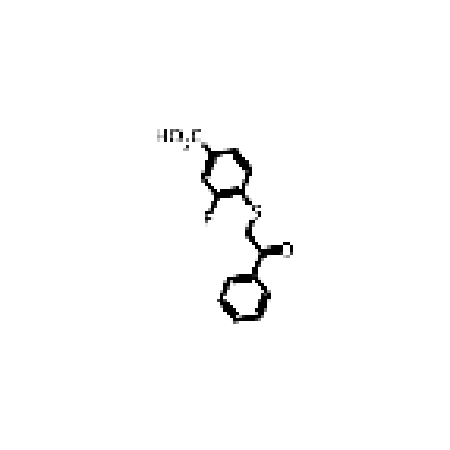 O=C(O)c1ccc(SCC(=O)c2ccccc2)c(F)c1